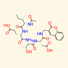 CC[C@H](C)[C@H](NC(C)=O)C(=O)N[C@@H](CCC(=O)O)C(=O)N[C@H](C(=O)N[C@@H](CC(=O)O)C(=O)NCc1cc2ccccc2oc1=O)[C@@H](C)O